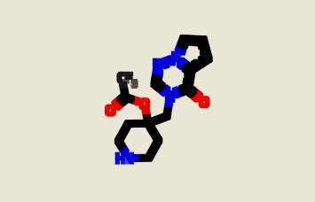 O=C(OC1(Cn2cnn3cccc3c2=O)CCNCC1)C(F)(F)F